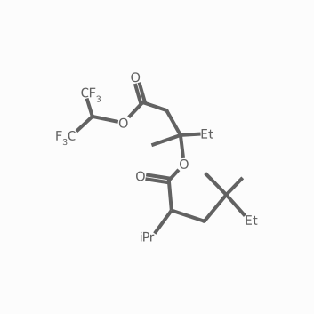 CCC(C)(C)CC(C(=O)OC(C)(CC)CC(=O)OC(C(F)(F)F)C(F)(F)F)C(C)C